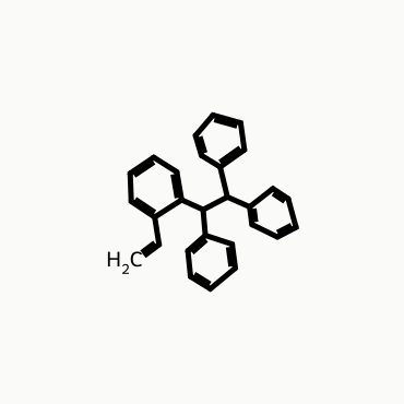 C=Cc1ccccc1C(c1ccccc1)C(c1ccccc1)c1ccccc1